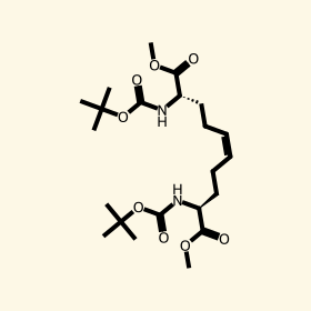 COC(=O)[C@H](CC/C=C\CC[C@H](NC(=O)OC(C)(C)C)C(=O)OC)NC(=O)OC(C)(C)C